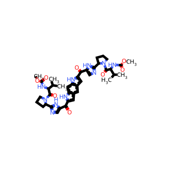 COC(=O)NC(C(=O)N1CCCC1c1ncc(C(=O)c2cc3cc4cc(C(=O)c5cnc(C6CCCN6C(=O)C(NC(=O)OC)C(C)C)[nH]5)[nH]c4cc3[nH]2)[nH]1)C(C)C